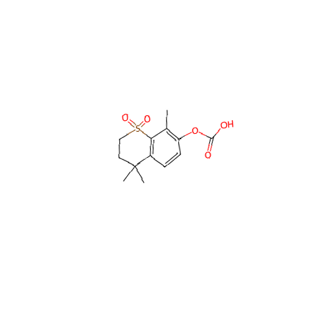 Cc1c(OC(=O)O)ccc2c1S(=O)(=O)CCC2(C)C